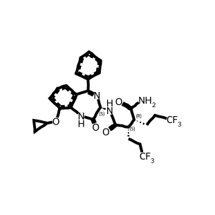 NC(=O)[C@H](CCC(F)(F)F)[C@H](CCC(F)(F)F)C(=O)N[C@H]1N=C(c2ccccc2)c2cccc(OC3CC3)c2NC1=O